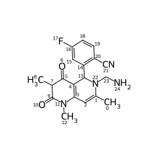 CC1=CC2=C(C(=O)C(C)C(=O)N2C)C(c2cc(F)ccc2C#N)N1CN